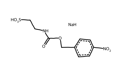 O=C(NCCS(=O)(=O)O)OCc1ccc([N+](=O)[O-])cc1.[NaH]